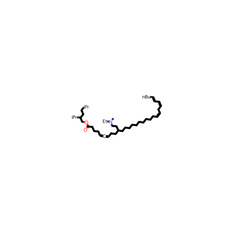 CCCC/C=C/C=C\C/C=C\CCCCCCCCCCC(CCC=C=CCCCC(=O)OCC(CCC(C)C)C(C)C)CCN(C)CC